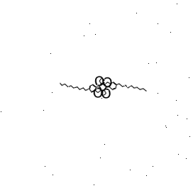 CCCCCCCCCCc1ccc2c(c1)oc1c(OC)c3c(oc4cc(CCCCCCCCCC)ccc43)c(OC)c12